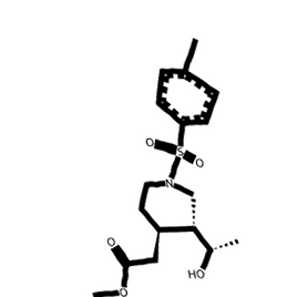 COC(=O)C[C@H]1CCN(S(=O)(=O)c2ccc(C)cc2)C[C@@H]1[C@H](C)O